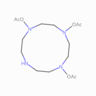 CC(=O)ON1CCNCCN(OC(C)=O)CCN(OC(C)=O)CC1